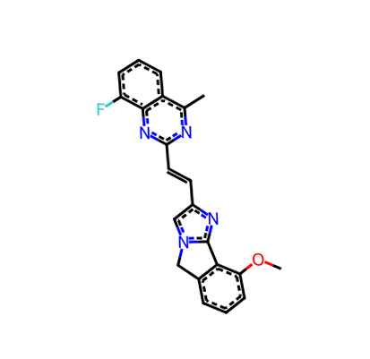 COc1cccc2c1-c1nc(/C=C/c3nc(C)c4cccc(F)c4n3)cn1C2